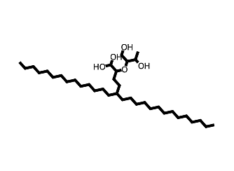 CCCCCCCCCCCCCCC(CCCCCCCCCCCCCC)CCC(OC(CO)C(C)O)C(O)O